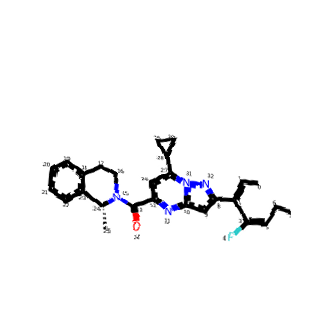 C/C=C(\C(F)=C/CC)c1cc2nc(C(=O)N3CCc4ccccc4[C@H]3C)cc(C3CC3)n2n1